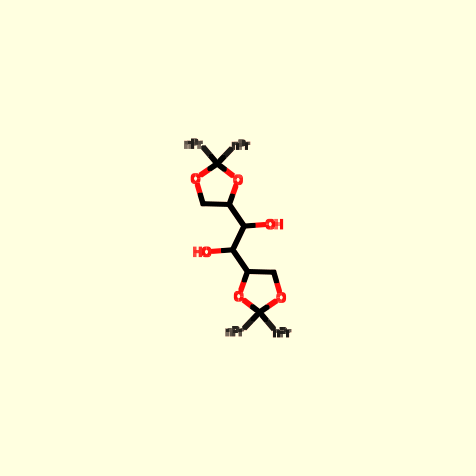 CCCC1(CCC)OCC(C(O)C(O)C2COC(CCC)(CCC)O2)O1